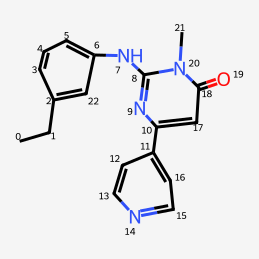 CCc1cccc(Nc2nc(-c3ccncc3)cc(=O)n2C)c1